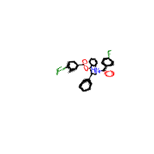 O=C(NCC(c1ccccc1)C(OC(=O)c1ccc(F)cc1)c1ccccc1)c1ccc(F)cc1